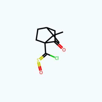 CC1(C)C2CCC1(C(Cl)=S=O)C(=O)C2